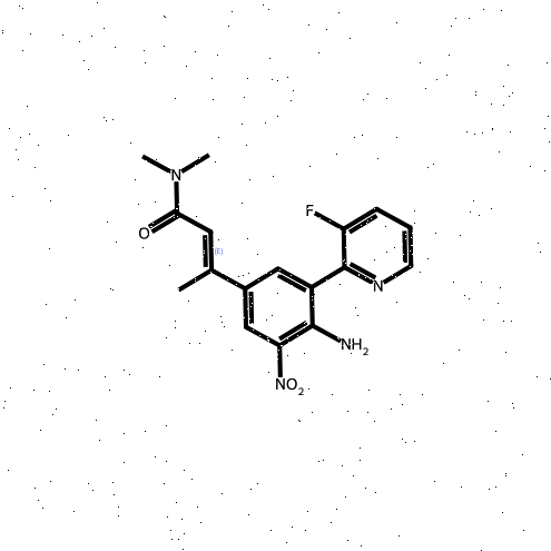 C/C(=C\C(=O)N(C)C)c1cc(-c2ncccc2F)c(N)c([N+](=O)[O-])c1